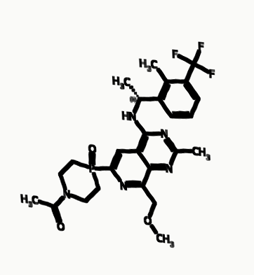 COCc1nc(P2(=O)CCN(C(C)=O)CC2)cc2c(N[C@H](C)c3cccc(C(F)(F)F)c3C)nc(C)nc12